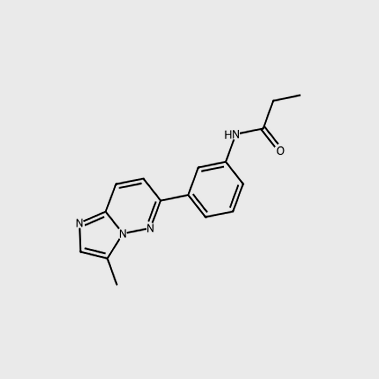 CCC(=O)Nc1cccc(-c2ccc3ncc(C)n3n2)c1